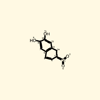 O=S(=O)=C1C=Cc2cc(O)c(O)cc2C1